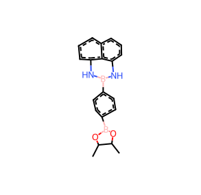 CC1OB(c2ccc(B3Nc4cccc5cccc(c45)N3)cc2)OC1C